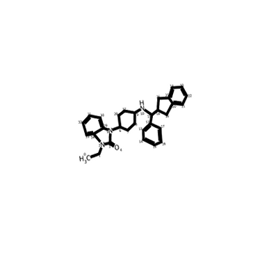 CCn1c(=O)n(C2CCC(NC(c3ccccc3)C3Cc4ccccc4C3)CC2)c2ccccc21